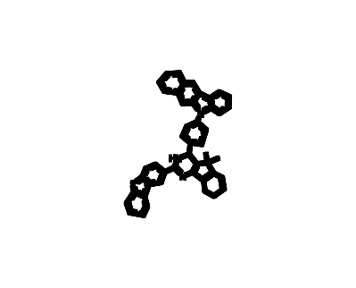 CC1(C)C2=C(CCC=C2)C2=C1C(c1ccc(-n3c4ccccc4c4cc5ccccc5cc43)cc1)NC(c1ccc3sc4ccccc4c3c1)=N2